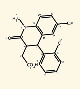 CN1C(=O)C(CC(=O)O)C(c2ccccc2Cl)c2cc(Cl)ccc21